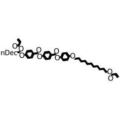 C=CC(=O)OCCCCCCCCCCCOc1ccc(OC(=O)c2ccc(OC(=O)c3ccc(OC(CCCCCCCCCC)OC(=O)C=C)cc3)cc2)cc1